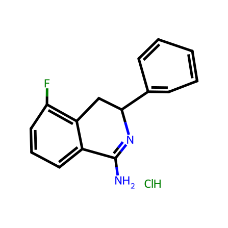 Cl.NC1=NC(c2ccccc2)Cc2c(F)cccc21